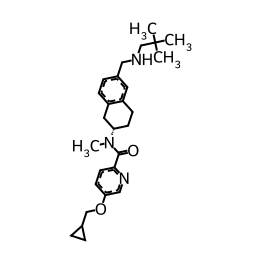 CN(C(=O)c1ccc(OCC2CC2)cn1)[C@H]1CCc2cc(CNCC(C)(C)C)ccc2C1